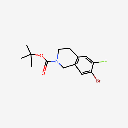 CC(C)(C)OC(=O)N1CCc2cc(F)c(Br)cc2C1